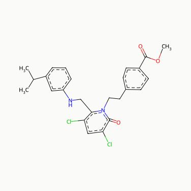 COC(=O)c1ccc(CCn2c(CNc3cccc(C(C)C)c3)c(Cl)cc(Cl)c2=O)cc1